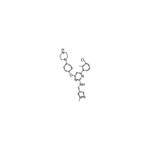 Cc1c(Cl)cccc1-c1cc(Oc2ccc(N3CCNCC3)cc2)nc(NSc2cnn(C)c2)n1